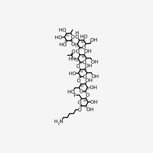 CC(=O)N[C@H]1C(O[C@@H]2OC(CO)[C@H](O)C(O)[C@@H]2O[C@@H]2OC(C)[C@@H](O)C(O)[C@@H]2O)[C@@H](O)C(CO)O[C@H]1O[C@@H]1C(O)[C@@H](O[C@H]2C(CO)O[C@@H](O[C@@H]3C(CF)O[C@@H](OCCCCCN)[C@@H](O)C3O)[C@@H](O)C2O)OC(CO)[C@@H]1O